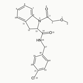 COCC(=O)N1c2cc[c]cc2CC1C(=O)NCc1ccc(Cl)cc1